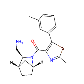 Cc1cccc(-c2sc(C)nc2C(=O)N2[C@@H]3CC[C@@H](C3)[C@H]2CN)c1